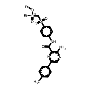 CCO[P@](=O)(CC)CS(=O)(=O)c1ccc(NC(=O)c2nc(-c3ccc(C)cc3)cnc2N)cc1